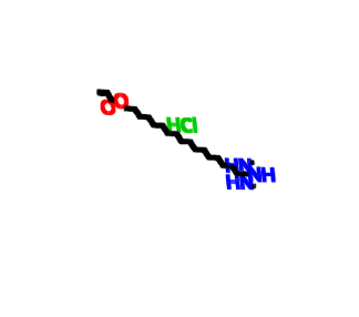 C=CC(=O)OCCCCCCCCCCCCCCCCCC(NC)(NC)NC.Cl